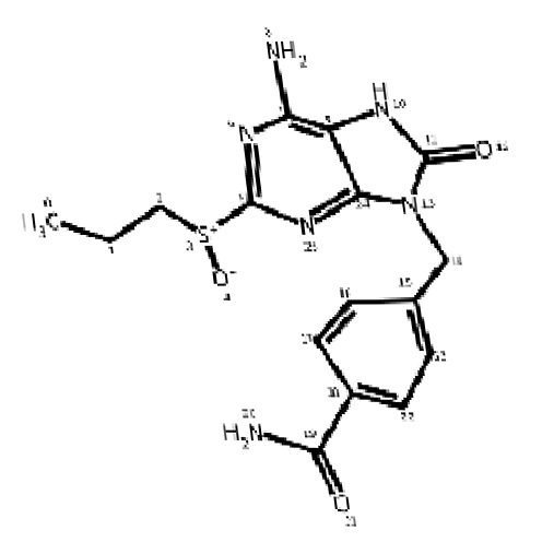 CCC[S+]([O-])c1nc(N)c2[nH]c(=O)n(Cc3ccc(C(N)=O)cc3)c2n1